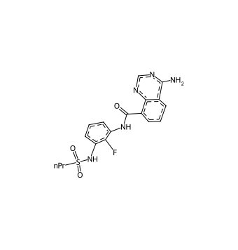 CCCS(=O)(=O)Nc1cccc(NC(=O)c2cccc3c(N)ncnc23)c1F